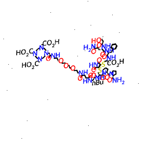 CCCC[C@H](NC(=O)CCC(=O)NCCCOCCOCCOCCCNC(=O)CN1CCN(CC(=O)O)CCN(CC(=O)O)CCN(CC(=O)O)CC1)C(=O)N[C@@H](CSC1=C(SC[C@H](NC(=O)[C@H](Cc2ccccc2)NC(=O)[C@H](CCC(N)=O)NC(=O)C[C@@H](C)O)C(=O)O)C(=O)NC1=O)C(=O)N1CCC[C@H]1C(=O)N1CCC[C@H]1C(N)=O